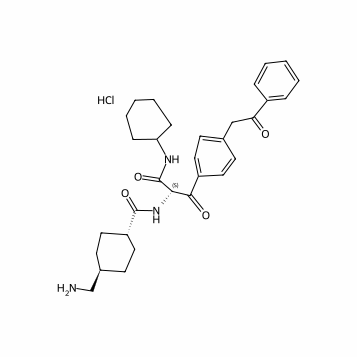 Cl.NC[C@H]1CC[C@H](C(=O)N[C@H](C(=O)NC2CCCCC2)C(=O)c2ccc(CC(=O)c3ccccc3)cc2)CC1